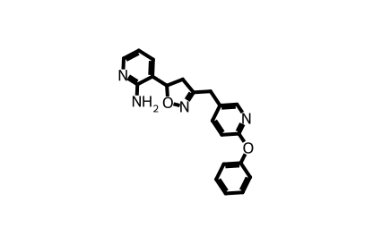 Nc1ncccc1C1CC(Cc2ccc(Oc3ccccc3)nc2)=NO1